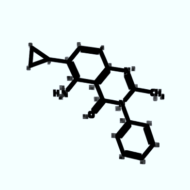 Cc1nc2ccc(C3CC3)c(N)c2c(=O)n1-c1ccccc1